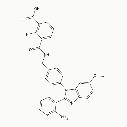 COc1ccc2nc(-c3cccnc3N)n(-c3ccc(CNC(=O)c4cccc(C(=O)O)c4F)cc3)c2c1